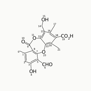 Cc1cc(O)c(C=O)c2c1C(=O)Oc1c(CO)c(C)c(C(=O)O)c(C)c1O2